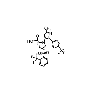 Cc1cc(N2C[C@H](S(=O)(=O)c3ccccc3C(F)(F)F)C[C@H]2C(=O)O)n(-c2ccc(C(F)(F)F)cc2)n1